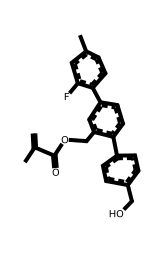 C=C(C)C(=O)OCc1cc(-c2ccc(C)cc2F)ccc1-c1ccc(CO)cc1